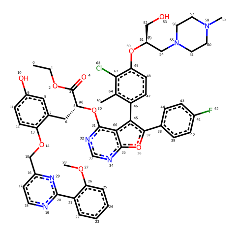 CCOC(=O)[C@@H](Cc1cc(O)ccc1OCc1ccnc(-c2ccccc2OC)n1)Oc1ncnc2oc(-c3ccc(F)cc3)c(-c3ccc(O[C@@H](CO)CN4CCN(C)CC4)c(Cl)c3C)c12